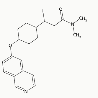 CN(C)C(=O)CC(I)C1CCC(Oc2ccc3cnccc3c2)CC1